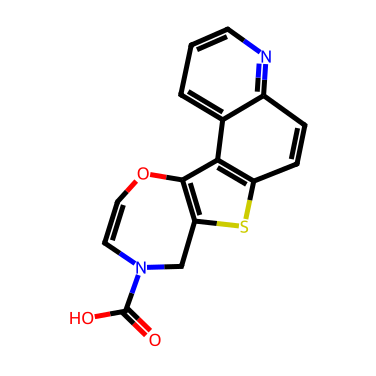 O=C(O)N1C=COc2c(sc3ccc4ncccc4c23)C1